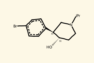 CC(C)N1CC[C@H](O)[C@@H](c2ccc(Br)cc2)C1